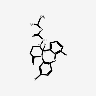 CC(C)OC(=O)N[C@@H]1CCC(=O)N2c3cc(Cl)ccc3Oc3c(F)cccc3[C@@H]12